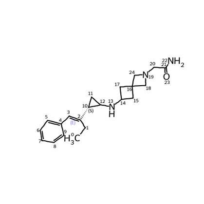 CC/C(=C\c1ccccc1)[C@@H]1CC1NC1CC2(C1)CN(CC(N)=O)C2